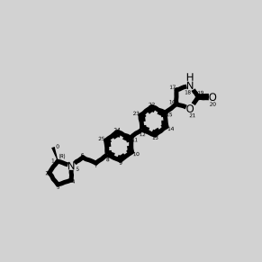 C[C@@H]1CCCN1CCc1ccc(-c2ccc(C3CNC(=O)O3)cc2)cc1